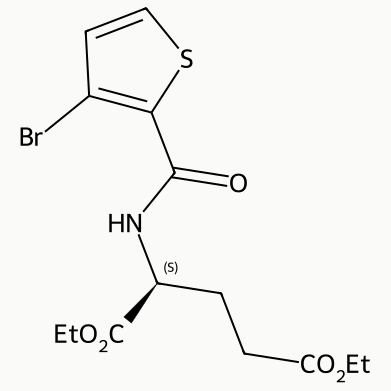 CCOC(=O)CC[C@H](NC(=O)c1sccc1Br)C(=O)OCC